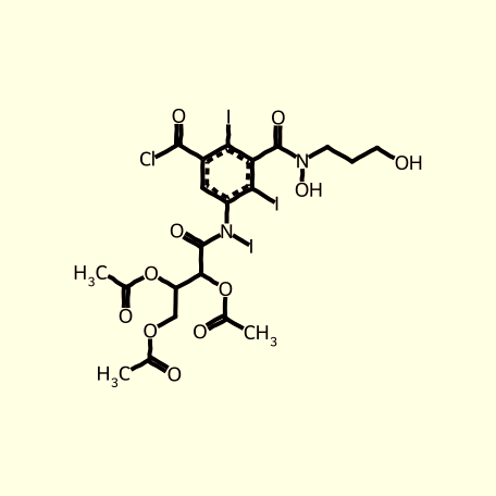 CC(=O)OCC(OC(C)=O)C(OC(C)=O)C(=O)N(I)c1cc(C(=O)Cl)c(I)c(C(=O)N(O)CCCO)c1I